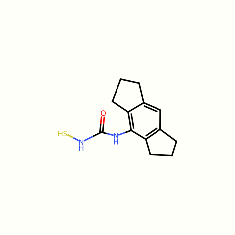 O=C(NS)Nc1c2c(cc3c1CCC3)CCC2